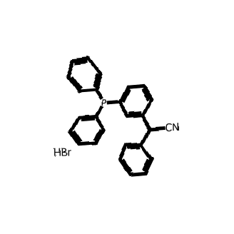 Br.N#CC(c1ccccc1)c1cccc(P(c2ccccc2)c2ccccc2)c1